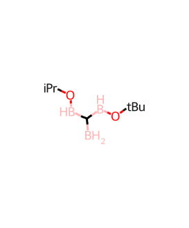 BC(BOC(C)C)BOC(C)(C)C